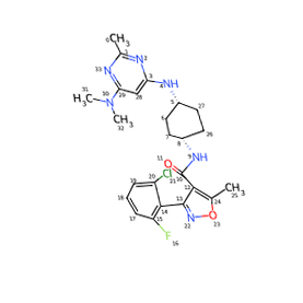 Cc1nc(N[C@H]2CC[C@@H](NC(=O)c3c(-c4c(F)cccc4Cl)noc3C)CC2)cc(N(C)C)n1